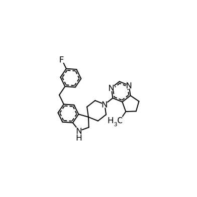 CC1CCc2ncnc(N3CCC4(CC3)CNc3ccc(Cc5cccc(F)c5)cc34)c21